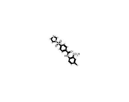 O=C(Nc1ccc(I)cc1C(=O)O)c1ccc(S(=O)(=O)N2CCSC2)cc1